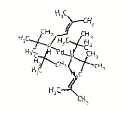 CC(C)=CC[PH]([Pd][PH](CC=C(C)C)(C(C)(C)C)C(C)(C)C)(C(C)(C)C)C(C)(C)C